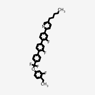 CCCCCc1ccc(-c2ccc(-c3ccc(-c4ccc(C(F)(F)Oc5ccc(CC)c(F)c5)cc4)c(F)c3)c(F)c2)nc1